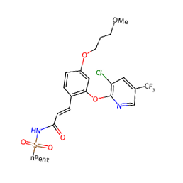 CCCCCS(=O)(=O)NC(=O)C=Cc1ccc(OCCCOC)cc1Oc1ncc(C(F)(F)F)cc1Cl